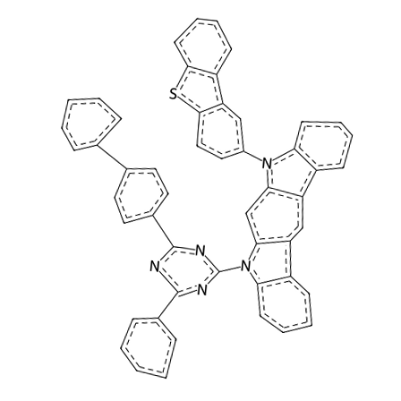 c1ccc(-c2ccc(-c3nc(-c4ccccc4)nc(-n4c5ccccc5c5cc6c7ccccc7n(-c7ccc8sc9ccccc9c8c7)c6cc54)n3)cc2)cc1